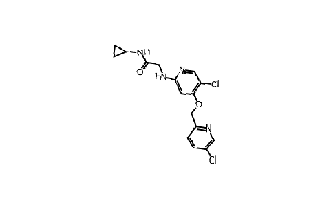 O=C(CNc1cc(OCc2ccc(Cl)cn2)c(Cl)cn1)NC1CC1